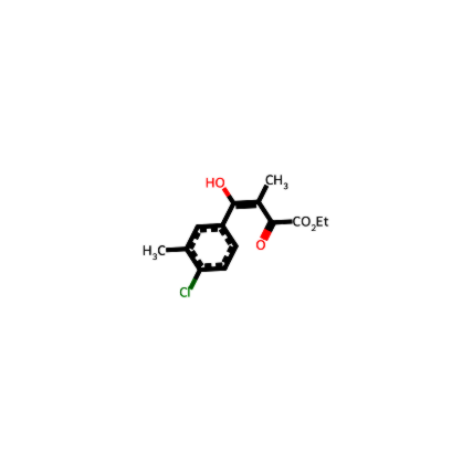 CCOC(=O)C(=O)C(C)=C(O)c1ccc(Cl)c(C)c1